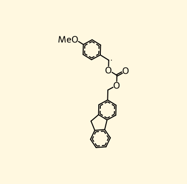 COc1ccc([CH]OC(=O)OCc2ccc3c(c2)Cc2ccccc2-3)cc1